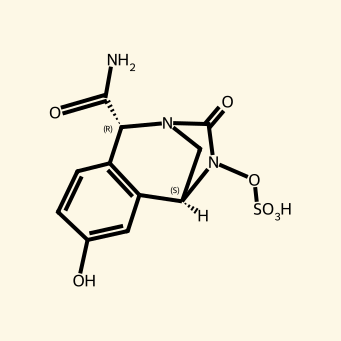 NC(=O)[C@H]1c2ccc(O)cc2[C@H]2CN1C(=O)N2OS(=O)(=O)O